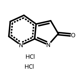 Cl.Cl.O=C1C=c2cccnc2=N1